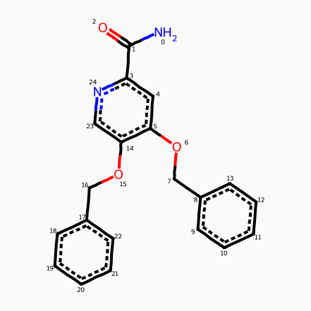 NC(=O)c1cc(OCc2ccccc2)c(OCc2ccccc2)cn1